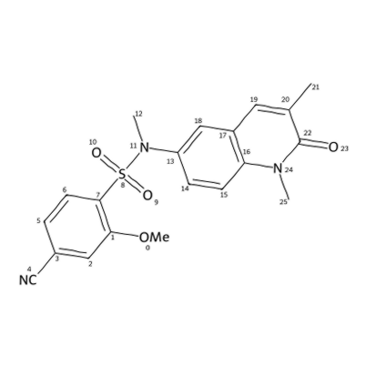 COc1cc(C#N)ccc1S(=O)(=O)N(C)c1ccc2c(c1)cc(C)c(=O)n2C